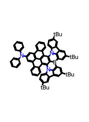 CC(C)(C)c1ccc2c(c1)c1cc(C(C)(C)C)cc3c1n2-c1c2c(c4c5ccccc5c5cc(N(c6ccccc6)c6ccccc6)cc6c7ccccc7c1c4c65)-n1c4ccc(C(C)(C)C)cc4c4cc(C(C)(C)C)cc(c41)B23